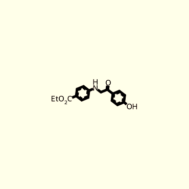 CCOC(=O)c1ccc(NCC(=O)c2ccc(O)cc2)cc1